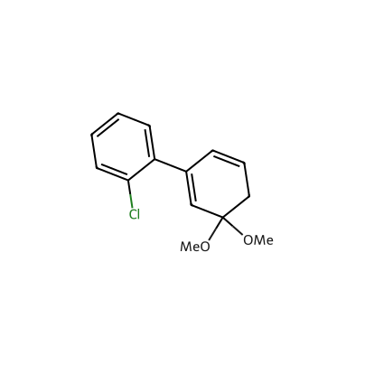 COC1(OC)C=C(c2ccccc2Cl)C=CC1